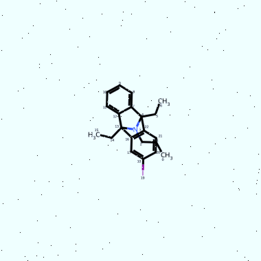 CCCN1C2(CC)c3ccccc3C1(CC)c1cc(I)ccc12